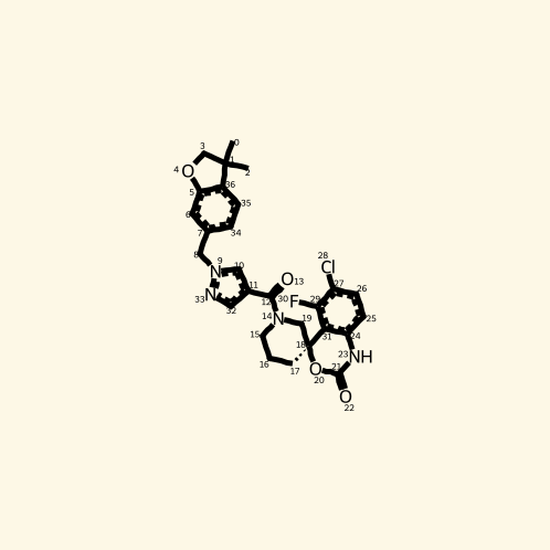 CC1(C)COc2cc(Cn3cc(C(=O)N4CCC[C@@]5(C4)OC(=O)Nc4ccc(Cl)c(F)c45)cn3)ccc21